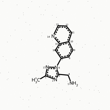 Cc1nc(CN)n(-c2ccc3cccnc3c2)n1